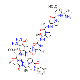 CC(C)C[C@H](NC(=O)[C@@H]1CCCN1C(=O)[C@@H](NC(=O)[C@H](CC(C)C)NC(=O)[C@H](CC(=O)O)NC(=O)[C@H](CCC(N)=O)NC(=O)[C@H](CCCCN)NC(=O)[C@@H](NC(=O)[C@H](CC(C)C)NC(=O)[C@@H]1CCCN1C(=O)[C@@H](NC(=O)[C@@H]1CCCN1C(=O)[C@H](CCC(=O)O)NC(=O)[C@H](C)N)C(C)C)C(C)C)C(C)C)C(=O)O